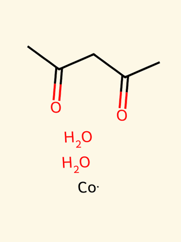 CC(=O)CC(C)=O.O.O.[Co]